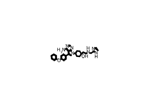 Nc1ncnc2c1c(-c1ccc(Oc3ccccc3)cc1)cn2C1CCC(O)(CCNCc2ncc[nH]2)CC1